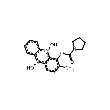 Cc1ccc2c(c1OC(=O)N1CCCC1)[n+](O)c1ccccc1[n+]2O